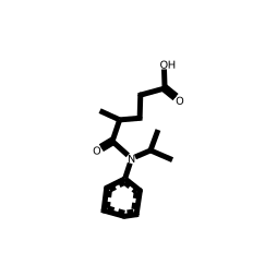 CC(CCC(=O)O)C(=O)N(c1ccccc1)C(C)C